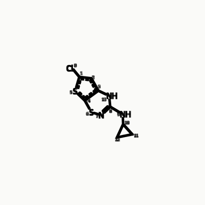 Clc1cc2c(s1)SN=C(NC1CC1)N2